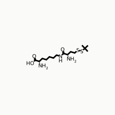 CC(C)(C)SSCC[C@H](N)C(=O)NCCCCC[C@H](N)C(=O)O